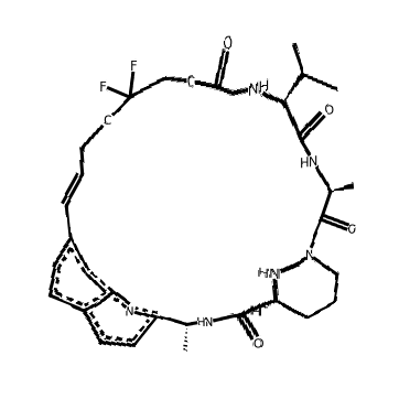 CC(C)[C@@H]1NC(=O)CCC(F)(F)CC/C=C/c2ccc3ccc(nc3c2)[C@@H](C)NC(=O)[C@@H]2CCCN(N2)C(=O)[C@H](C)NC1=O